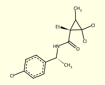 CC[C@@]1(C(=O)N[C@H](C)c2ccc(Cl)cc2)C(C)C1(Cl)Cl